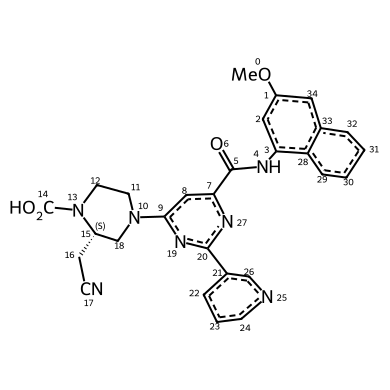 COc1cc(NC(=O)c2cc(N3CCN(C(=O)O)[C@@H](CC#N)C3)nc(-c3cccnc3)n2)c2ccccc2c1